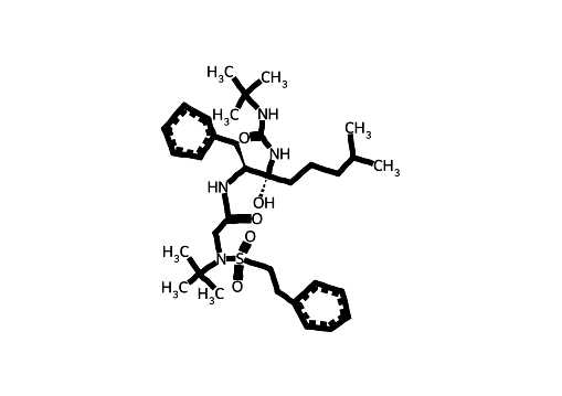 CC(C)CCC[C@](O)(NC(=O)NC(C)(C)C)[C@H](Cc1ccccc1)NC(=O)CN(C(C)(C)C)S(=O)(=O)CCc1ccccc1